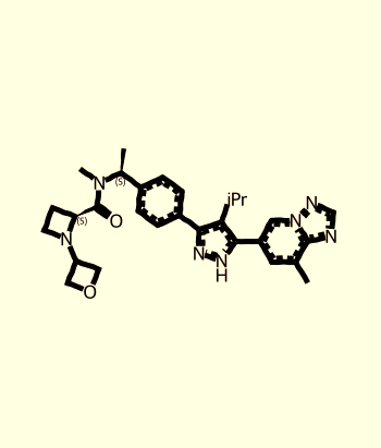 Cc1cc(-c2[nH]nc(-c3ccc([C@H](C)N(C)C(=O)[C@@H]4CCN4C4COC4)cc3)c2C(C)C)cn2ncnc12